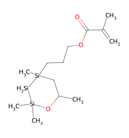 C=C(C)C(=O)OCCC[Si]1(C)CC(C)O[Si](C)(C)[SiH2]1